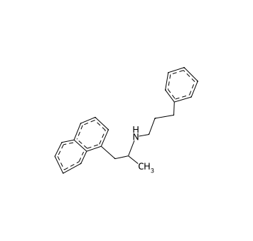 CC(Cc1cccc2ccccc12)NCCCc1ccccc1